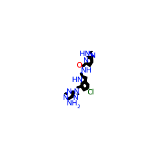 Nc1ncnc2c1ncn2Cc1cc(Cl)cc2cc(CNC(=O)c3ccc4nc[nH]c4n3)[nH]c12